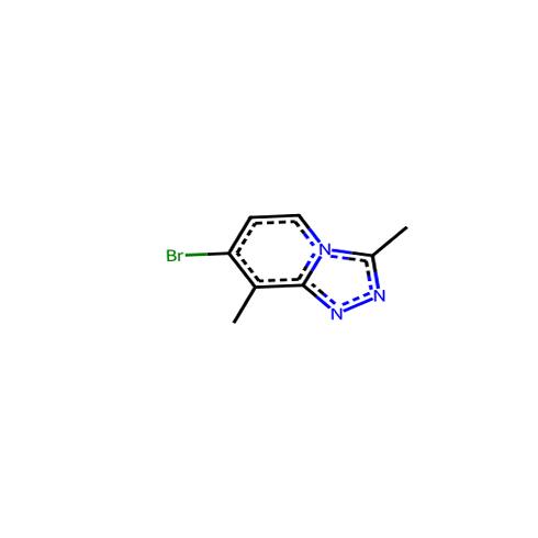 Cc1c(Br)ccn2c(C)nnc12